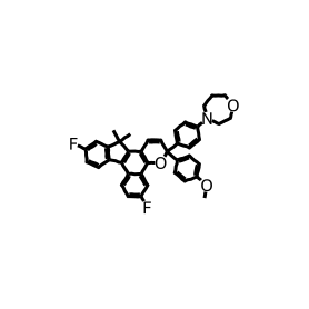 COc1ccc(C2(c3ccc(N4CCCOCC4)cc3)C=Cc3c4c(c5ccc(F)cc5c3O2)-c2ccc(F)cc2C4(C)C)cc1